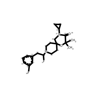 CC1(C)OC2(CCN(C(F)Cc3cccc(F)c3)CC2)CN(C2CC2)C1=O